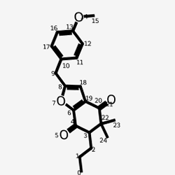 CCCC1C(=O)c2oc(Cc3ccc(OC)cc3)cc2C(=O)C1(C)C